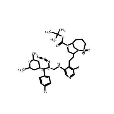 CC1CC([C@H](c2ccc(Cl)cc2)[C@H](CNc2cncc(F)c2CCC2CN(C(=O)OC(C)(C)C)C3CCCS(=O)(=O)N2C3)N=[N+]=[N-])CC(C)O1